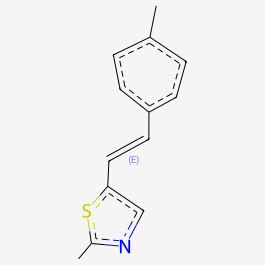 Cc1ccc(/C=C/c2cnc(C)s2)cc1